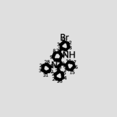 Brc1ccc2[nH]c3c(ccc4c3c(-c3ccccc3)c(-c3ccccc3)n4C3=CC=C=C=C3)c2c1